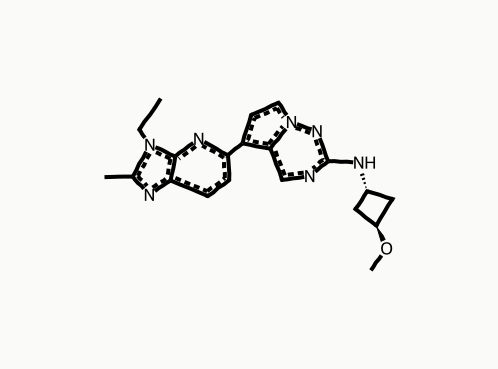 CCn1c(C)nc2ccc(-c3ccn4nc(N[C@H]5C[C@H](OC)C5)ncc34)nc21